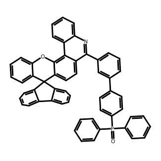 O=P(c1ccccc1)(c1ccccc1)c1ccc(-c2cccc(-c3nc4ccccc4c4c5c(ccc34)C3(c4ccccc4O5)c4ccccc4-c4ccccc43)c2)cc1